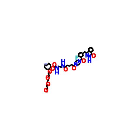 COCCOCCOCCOC1CC/C=C/CCC1OC(=O)NCCNC(=O)CCCC(=O)N1CCN(C(=O)c2cc(Cc3n[nH]c(=O)c4ccccc34)ccc2F)CC1